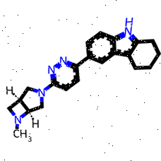 CN1C[C@H]2CN(c3ccc(-c4ccc5[nH]c6c(c5c4)CCCC6)nn3)C[C@H]21